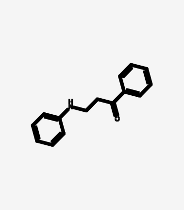 O=C(CCNc1ccccc1)c1ccccc1